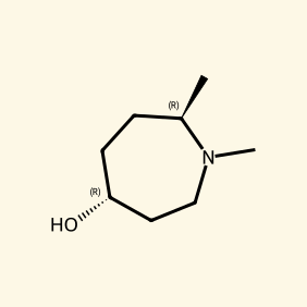 C[C@@H]1CC[C@@H](O)CCN1C